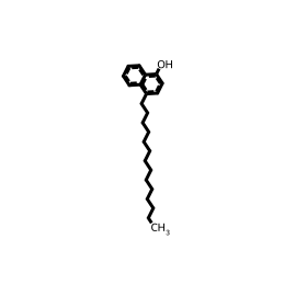 CCCCCCCCCCCCCCc1ccc(O)c2ccccc12